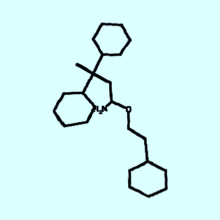 CC(CC(N)OCCC1CCCCC1)(C1CCCCC1)C1CCCCC1